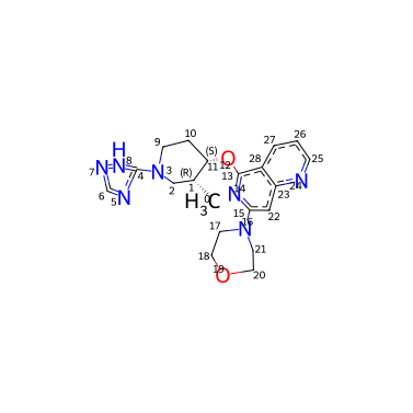 C[C@@H]1CN(c2ncn[nH]2)CC[C@@H]1Oc1nc(N2CCOCC2)cc2ncccc12